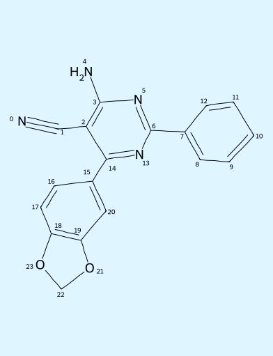 N#Cc1c(N)nc(-c2ccccc2)nc1-c1ccc2c(c1)OCO2